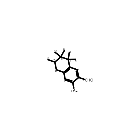 CC(=O)c1cc2c(cc1C=O)C(C)(C)C(C)(C)C(C)C2